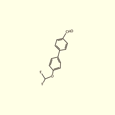 O=Cc1ccc(-c2ccc(OC(F)F)cc2)cc1